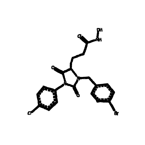 O=C(CCC1C(=O)N(c2ccc(Cl)cc2)C(=O)N1Cc1ccc(Br)cc1)NO